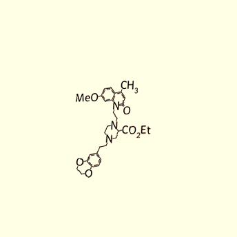 CCOC(=O)C1CN(CCc2ccc3c(c2)OCCO3)CCN1CCn1c(=O)cc(C)c2ccc(OC)cc21